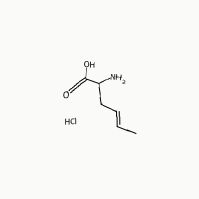 CC=CCC(N)C(=O)O.Cl